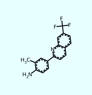 Cc1cc(-c2ccc3ccc(C(F)(F)F)cc3n2)ccc1N